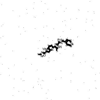 Cc1noc(-c2cc3nc(-c4nc(C(=O)NCc5ccncc5)[nH]c4C)ccc3[nH]2)n1